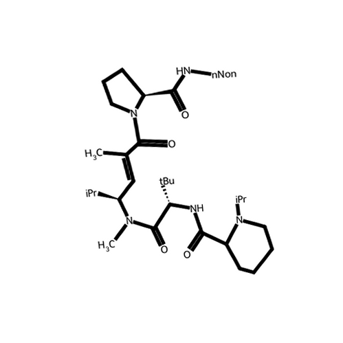 CCCCCCCCCNC(=O)[C@@H]1CCCN1C(=O)/C(C)=C/[C@H](C(C)C)N(C)C(=O)[C@@H](NC(=O)C1CCCCN1C(C)C)C(C)(C)C